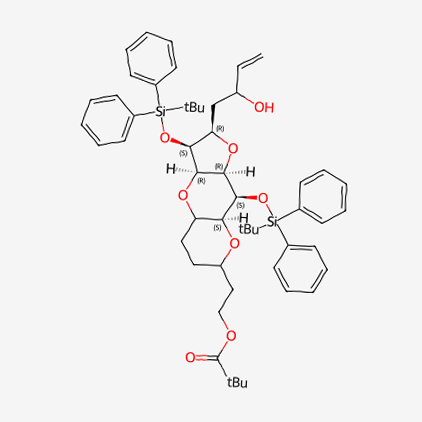 C=CC(O)C[C@H]1O[C@@H]2[C@@H](OC3CCC(CCOC(=O)C(C)(C)C)O[C@@H]3[C@@H]2O[Si](c2ccccc2)(c2ccccc2)C(C)(C)C)[C@H]1O[Si](c1ccccc1)(c1ccccc1)C(C)(C)C